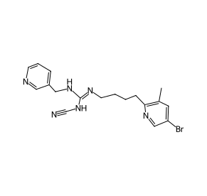 Cc1cc(Br)cnc1CCCCN=C(NC#N)NCc1cccnc1